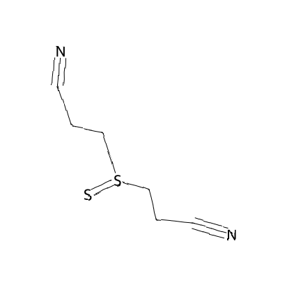 N#CCCS(=S)CCC#N